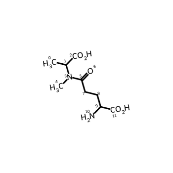 CC(C(=O)O)N(C)C(=O)CCC(N)C(=O)O